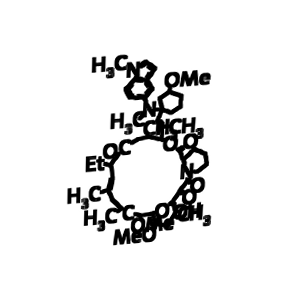 CCC1/C=C(\C)CC(C)CC(OC)C2OC(O)(C(=O)C(=O)N3CCCCC3C(=O)OC(C(C)=CC3(N(C)c4ccc5c(ccn5C)c4)CCCC(OC)C3)C(C)CCC1=O)C(C)CC2OC